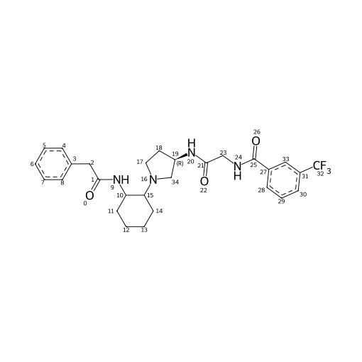 O=C(Cc1ccccc1)NC1CCCCC1N1CC[C@@H](NC(=O)CNC(=O)c2cccc(C(F)(F)F)c2)C1